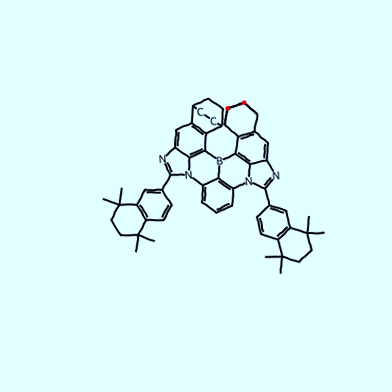 CC1(C)CCC(C)(C)c2cc(-c3nc4cc5c(c6c4n3-c3cccc4c3B6c3c6c(cc7nc(-c8ccc9c(c8)C(C)(C)CCC9(C)C)n-4c37)C3CCC6CC3)C3CCC5CC3)ccc21